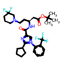 CC(C)(C)OC(=O)C[C@H](CCN1CCCC(F)(F)C1)NC(=O)c1cn(-c2ccccc2C(F)(F)F)c(C2CCCC2)n1